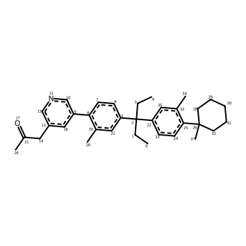 CCC(CC)(c1ccc(-c2cncc(CC(C)=O)c2)c(C)c1)c1ccc(C2(C)CCCCC2)c(C)c1